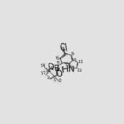 CC1(C)OB(c2cc(Cl)cc3cc[nH]c23)OC1(C)C